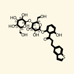 O=C(CCc1ccc2sccc2c1)c1c(O)cccc1O[C@@H]1O[C@H](CO)[C@@H](O[C@H]2O[C@H](CO)[C@@H](O)[C@H](O)[C@H]2O)[C@H](O)[C@H]1O